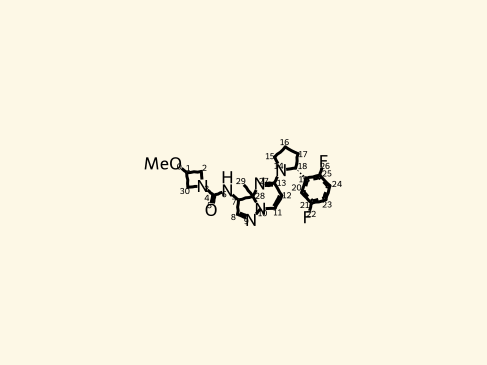 COC1CN(C(=O)NC2C=NN3C=CC(N4CCC[C@@H]4c4cc(F)ccc4F)=NC23C)C1